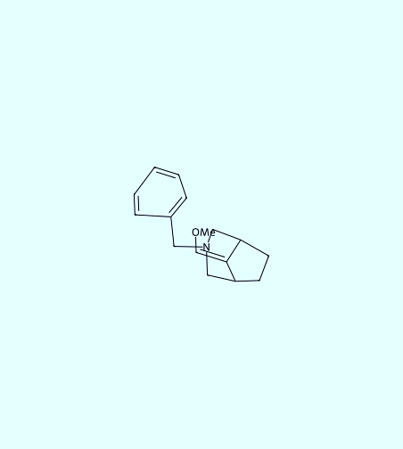 COC=C1C2CCC1CN(Cc1ccccc1)C2